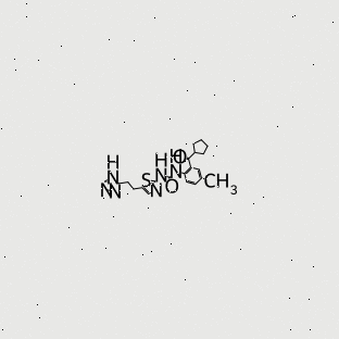 Cc1ccc(NC(=O)Nc2ncc(CCc3nnc[nH]3)s2)c(C(=O)C2CCCC2)c1